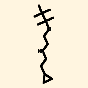 CC(C)(C)[Si](C)(C)OCCNCCC1CC1